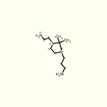 CC1(C)CN(CCCN)CCN1CCN